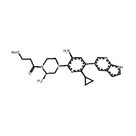 COCCC(=O)N1CCN(c2nc(C3CC3)c(-c3cnc4[nH]ccc4c3)cc2N)C[C@H]1C